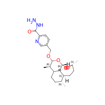 C[C@H]1C(OCc2ccc(C(=O)NN)nc2)O[C@@H]2O[C@]3(C)CC[C@H]4[C@H](C)CCC1[C@@]24OO3